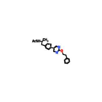 CC(=O)NC(C)Cc1ccc(-c2cnc(OCCc3ccccc3)nc2)cc1